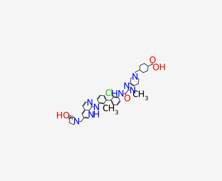 Cc1c(Nc2nccc3cc(CN4CC[C@@H](O)C4)cnc23)cccc1-c1cccc(NC(=O)c2nc3c(n2C)CCN(CC2CCC(C(=O)O)CC2)C3)c1Cl